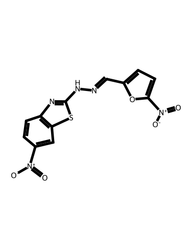 O=[N+]([O-])c1ccc2nc(NN=Cc3ccc([N+](=O)[O-])o3)sc2c1